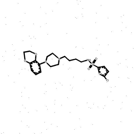 O=S(=O)(NCCCCN1CCN(c2cccc3c2OCCO3)CC1)c1ccc(Cl)s1